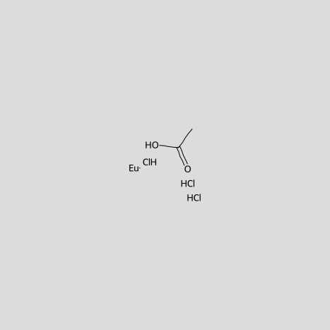 CC(=O)O.Cl.Cl.Cl.[Eu]